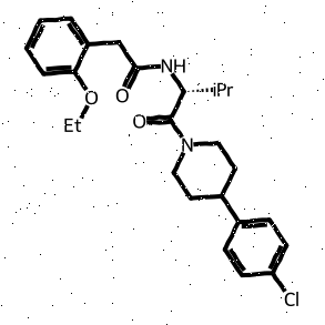 CCOc1ccccc1CC(=O)N[C@@H](C(=O)N1CCC(c2ccc(Cl)cc2)CC1)C(C)C